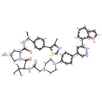 Cc1ncsc1-c1ccc([C@H](C)NC(=O)[C@@H]2C[C@@H](O)CN2C(=O)C(NC(=O)CN2CCN(c3ccc(-c4cnnc(-c5cccc6ccoc56)c4)cc3)CC2)C(C)(C)C)cc1